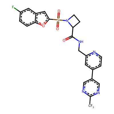 O=C(NCc1cc(-c2cnc(C(F)(F)F)nc2)ccn1)C1CCN1S(=O)(=O)c1cc2cc(F)ccc2o1